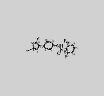 Cc1cc(-c2ccc(NC(=O)c3c(F)cccc3F)cc2)c(C)s1